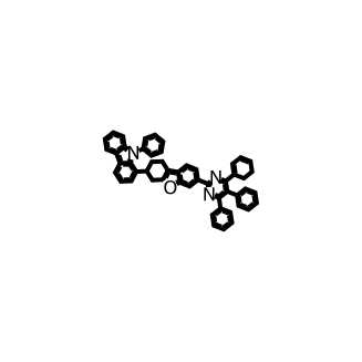 C1=CCCC(c2nc(-c3ccc4c5c(oc4c3)CC(c3cccc4c6ccccc6n(-c6ccccc6)c34)CC5)nc(-c3ccccc3)c2-c2ccccc2)=C1